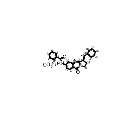 O=C(O)c1ccccc1C(=O)Nc1ccc2c(=O)n3c(nc2c1)C(=Cc1ccccc1)CC3